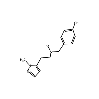 Cn1nccc1CC[S+]([O-])Cc1ccc(O)cc1